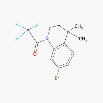 CC1(C)CCN(C(=O)C(F)(F)F)c2cc(Br)ccc21